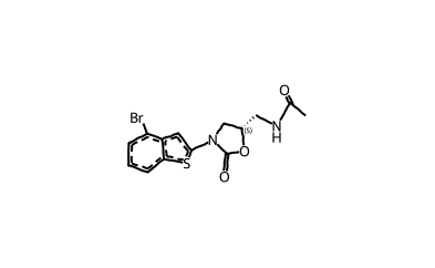 CC(=O)NC[C@H]1CN(c2cc3c(Br)cccc3s2)C(=O)O1